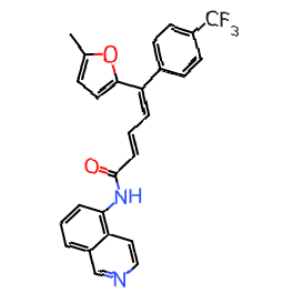 Cc1ccc(/C(=C\C=C\C(=O)Nc2cccc3cnccc23)c2ccc(C(F)(F)F)cc2)o1